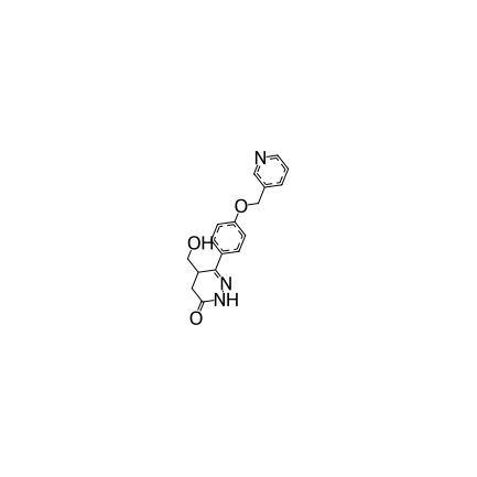 O=C1CC(CO)C(c2ccc(OCc3cccnc3)cc2)=NN1